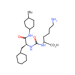 CC(C)(C)C1CCC(NC(=O)[C@H](CC2CCCCC2)NC(=O)NC(CCCCN)C(=O)O)CC1